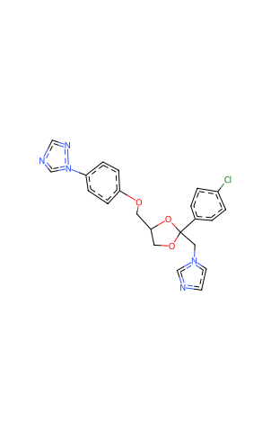 Clc1ccc(C2(Cn3ccnc3)OCC(COc3ccc(-n4cncn4)cc3)O2)cc1